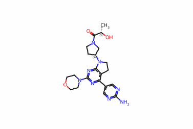 C[C@H](O)C(=O)N1CC[C@H](N2CCc3c(-c4cnc(N)nc4)nc(N4CCOCC4)nc32)C1